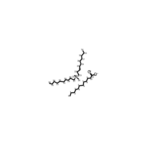 CCCCCCCCCCCC(=O)[O-].CCCCCCCCCC[N+](C)(C)CCCCCCCCCC